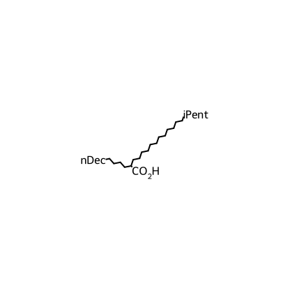 CCCCCCCCCCCCCCC(CCCCCCCCCCCCC(C)CCC)C(=O)O